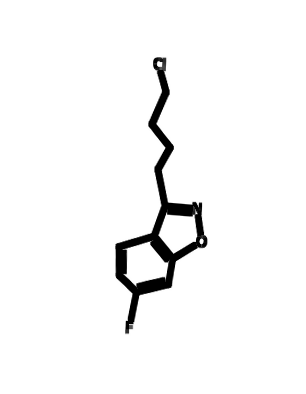 Fc1ccc2c(CCCCCl)noc2c1